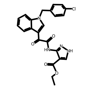 CCOC(=O)c1c[nH]nc1NC(=O)C(=O)c1cn(Cc2ccc(Cl)cc2)c2ccccc12